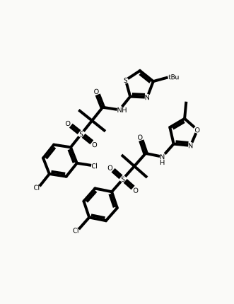 CC(C)(C)c1csc(NC(=O)C(C)(C)S(=O)(=O)c2ccc(Cl)cc2Cl)n1.Cc1cc(NC(=O)C(C)(C)S(=O)(=O)c2ccc(Cl)cc2)no1